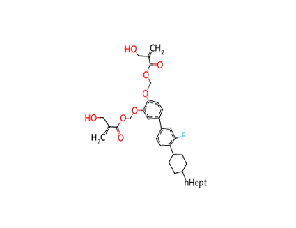 C=C(CO)C(=O)OCOc1ccc(-c2ccc(C3CCC(CCCCCCC)CC3)c(F)c2)cc1OCOC(=O)C(=C)CO